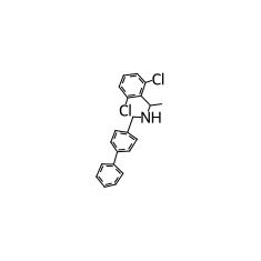 CC(NCc1ccc(-c2ccccc2)cc1)c1c(Cl)cccc1Cl